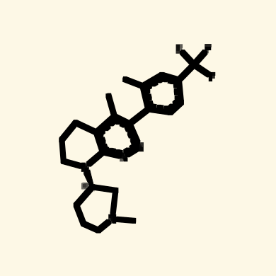 Cc1cc(C(F)(F)F)ccc1-c1nnc2c(c1C)CCCN2[C@@H]1CCCN(C)C1